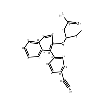 CCC(CC(=O)O)Oc1ccc2ccccc2c1-c1ccc(C#N)cc1